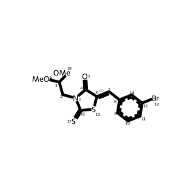 COC(CN1C(=O)/C(=C/c2cccc(Br)c2)SC1=S)OC